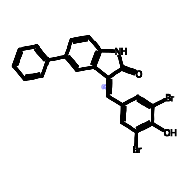 O=C1Nc2ccc(-c3ccccc3)cc2/C1=C/c1cc(Br)c(O)c(Br)c1